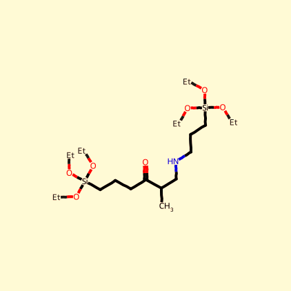 CCO[Si](CCCNCC(C)C(=O)CCC[Si](OCC)(OCC)OCC)(OCC)OCC